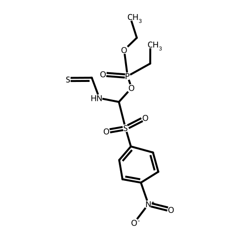 CCOP(=O)(CC)OC(NC=S)S(=O)(=O)c1ccc([N+](=O)[O-])cc1